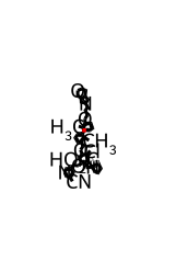 Cc1c(COc2cc(OCc3cncc(C#N)c3)c(CN3CCCC[C@H]3C(=O)O)cc2Cl)cccc1-c1cccc(OCCCN2CC3CCOCC3C2)c1C